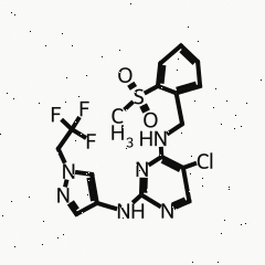 CS(=O)(=O)c1ccccc1CNc1nc(Nc2cnn(CC(F)(F)F)c2)ncc1Cl